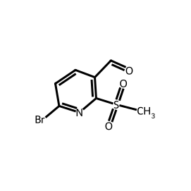 CS(=O)(=O)c1nc(Br)ccc1C=O